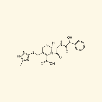 Cc1nc(SCC2=C(C(=O)O)N3C(=O)C(NC(=O)C(O)c4ccccc4)[C@@H]3SC2)n[nH]1